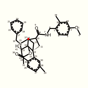 COc1ccc(CNC(=O)C2C[C@]34CCN(Cc5ccccc5)[C@H](Cc5ccc(C)cc53)[C@]4(OC(C)=O)C2)c(C)c1